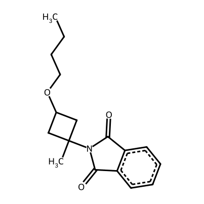 CCCCOC1CC(C)(N2C(=O)c3ccccc3C2=O)C1